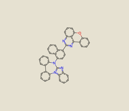 c1ccc2c(c1)Oc1cccc3nc(-c4ccc(N5c6ccccc6-c6ccccc6-n6c5nc5ccccc56)c5ccccc45)nc-2c13